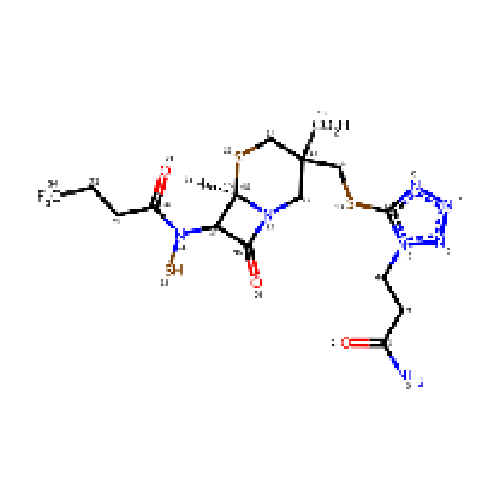 NC(=O)CCn1nnnc1SCC1(C(=O)O)CS[C@@H]2C(N(S)C(=O)CCC(F)(F)F)C(=O)N2C1